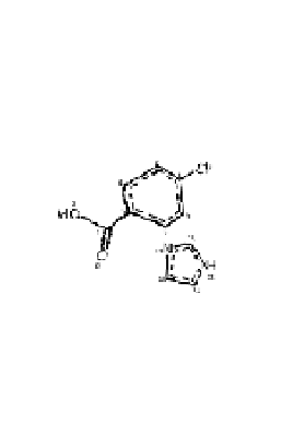 O=C(O)c1ccc(Cl)cc1.c1c[nH]cn1